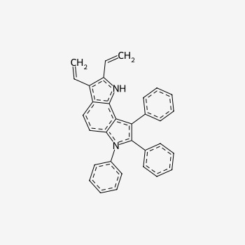 C=Cc1[nH]c2c(ccc3c2c(-c2ccccc2)c(-c2ccccc2)n3-c2ccccc2)c1C=C